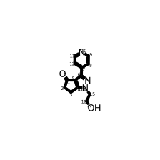 O=C1CCc2c1c(-c1ccncc1)nn2CCO